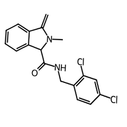 C=C1c2ccccc2C(C(=O)NCc2ccc(Cl)cc2Cl)N1C